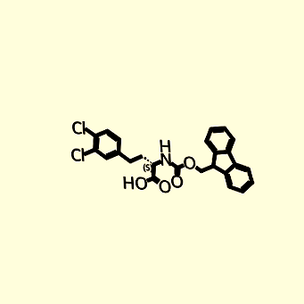 O=C(N[C@@H](CCc1ccc(Cl)c(Cl)c1)C(=O)O)OCC1c2ccccc2-c2ccccc21